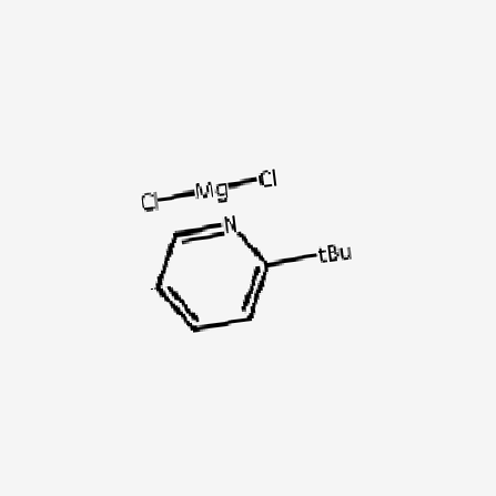 CC(C)(C)c1cc[c]cn1.[Cl][Mg][Cl]